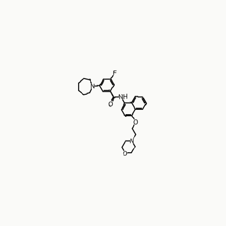 O=C(Nc1ccc(OCCN2CCOCC2)c2ccccc12)c1cc(F)cc(N2CCCCCC2)c1